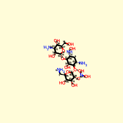 NC[C@H]1O[C@H](OC2[C@@H](N)C[C@@H](NO)[C@H](O[C@H]3O[C@H](CO)[C@@H](O)[C@H](N)[C@H]3O)[C@H]2O)[C@H](ON(O)O)[C@@H](O)[C@@H]1O